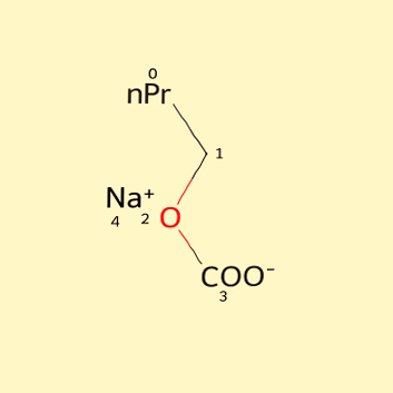 [CH2]CCCOC(=O)[O-].[Na+]